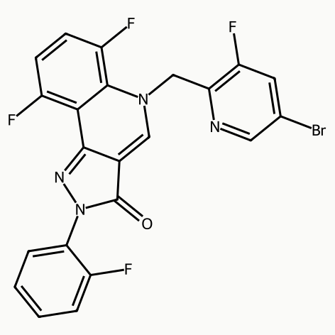 O=c1c2cn(Cc3ncc(Br)cc3F)c3c(F)ccc(F)c3c-2nn1-c1ccccc1F